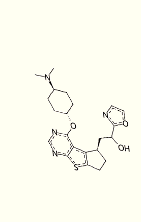 CN(C)[C@H]1CC[C@H](Oc2ncnc3sc4c(c23)[C@@H](CC(O)c2ncco2)CC4)CC1